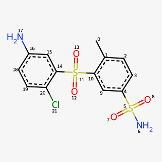 Cc1ccc(S(N)(=O)=O)cc1S(=O)(=O)c1cc(N)ccc1Cl